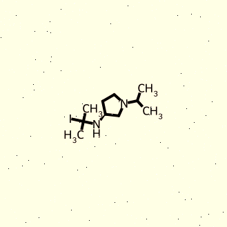 CC(C)N1CC[C@H](NC(C)(C)I)C1